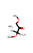 CCCCOCC(=O)C(CC)(OCCCC)C(=O)O.[AlH3]